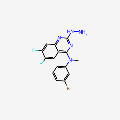 CN(c1cccc(Br)c1)c1nc(NN)nc2cc(F)c(F)cc12